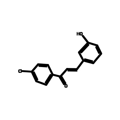 O=C(C=Cc1cccc(O)c1)c1ccc(Cl)cc1